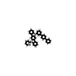 c1ccc(-c2ccc(-c3cccc(-n4c5ccccc5c5cc6c(cc54)c4ccccc4n6-c4ccccn4)c3)cc2)cc1